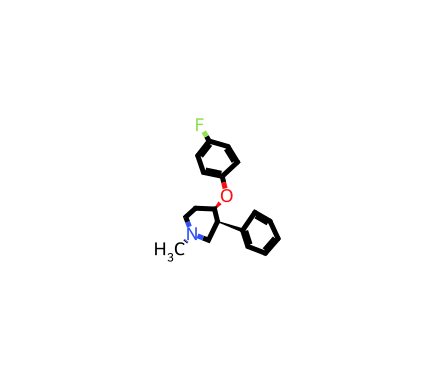 CN1CC[C@@H](Oc2ccc(F)cc2)[C@@H](c2ccccc2)C1